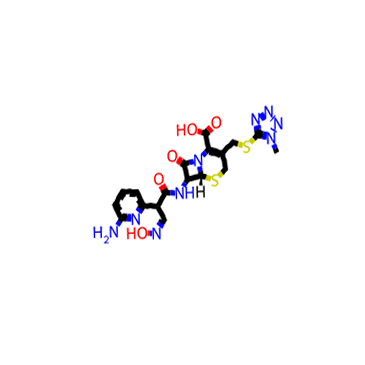 Cn1nnnc1SCC1=C(C(=O)O)N2C(=O)C(NC(=O)C(/C=N\O)c3cccc(N)n3)[C@H]2SC1